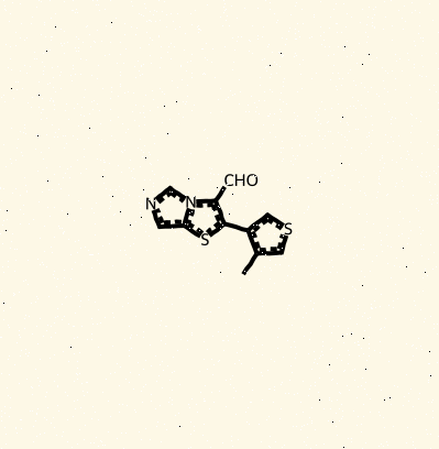 Cc1cscc1-c1sc2cncn2c1C=O